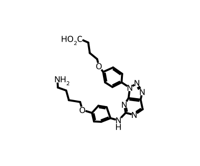 NCCCCOc1ccc(Nc2ncc3nnn(-c4ccc(OCCCC(=O)O)cc4)c3n2)cc1